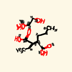 CCCC(C(=O)O)C(CC)C(=O)O.OCCO